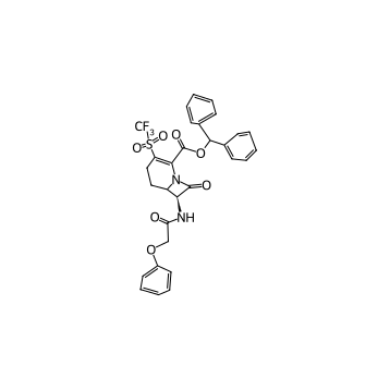 O=C(COc1ccccc1)N[C@@H]1C(=O)N2C(C(=O)OC(c3ccccc3)c3ccccc3)=C(S(=O)(=O)C(F)(F)F)CCC12